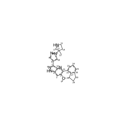 COc1cc2[nH]nc(-c3cnn(C4(C)CCNC4)c3)c2nc1-c1cccc2c1CCC2